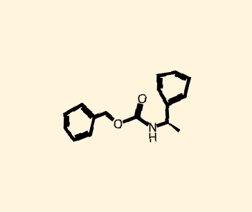 C[C@@H](NC(=O)OCc1ccccc1)c1ccccc1